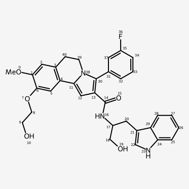 COc1cc2c(cc1OCCO)-c1cc(C(=O)NC(CO)Cc3c[nH]c4ccccc34)c(-c3cccc(F)c3)n1CC2